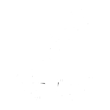 COCc1cccc(C[C@H](O)C=C[C@H]2[C@H](O)CC(=O)[C@@H]2CCSCCCC(=O)OCOC(=O)C(C)(C)C)c1